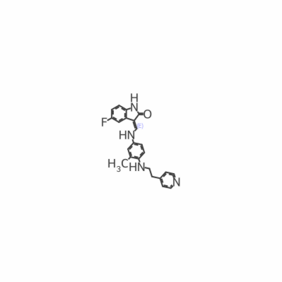 Cc1cc(N/C=C2/C(=O)Nc3ccc(F)cc32)ccc1NCCc1ccncc1